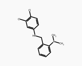 CN(C)c1ccccc1CNc1ccc(Cl)c(Cl)c1